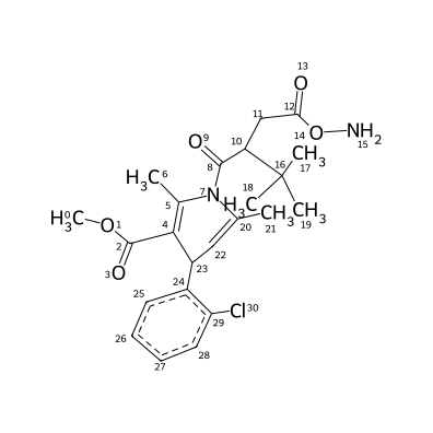 COC(=O)C1=C(C)N(C(=O)C(CC(=O)ON)C(C)(C)C)C(C)=CC1c1ccccc1Cl